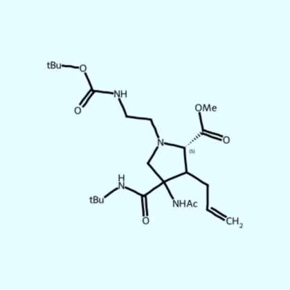 C=CCC1[C@@H](C(=O)OC)N(CCNC(=O)OC(C)(C)C)CC1(NC(C)=O)C(=O)NC(C)(C)C